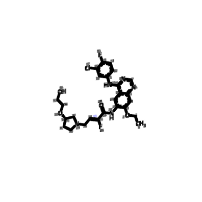 CCOc1cc2ncnc(Nc3ccc(F)c(Cl)c3)c2cc1NC(=O)/C(F)=C/CN1CC[C@@H](OCCO)C1